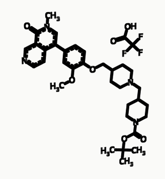 COc1cc(-c2cn(C)c(=O)c3cnccc23)ccc1OCC1CCN(CC2CCN(C(=O)OC(C)(C)C)CC2)CC1.O=C(O)C(F)(F)F